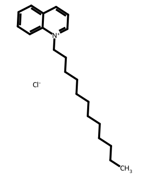 CCCCCCCCCCCC[n+]1cccc2ccccc21.[Cl-]